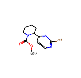 CC(C)(C)OC(=O)N1CCCCC1c1ccnc(S)n1